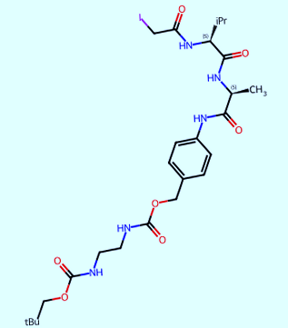 CC(C)[C@H](NC(=O)CI)C(=O)N[C@@H](C)C(=O)Nc1ccc(COC(=O)NCCNC(=O)OCC(C)(C)C)cc1